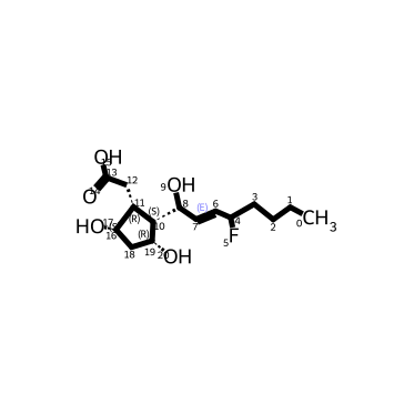 CCCCC(F)/C=C/C(O)[C@H]1[C@@H](CC(=O)O)[C@@H](O)C[C@H]1O